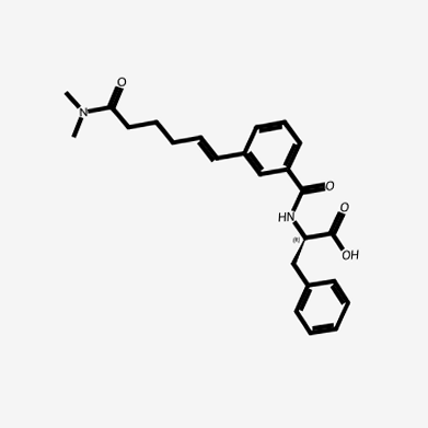 CN(C)C(=O)CCCC=Cc1cccc(C(=O)N[C@H](Cc2ccccc2)C(=O)O)c1